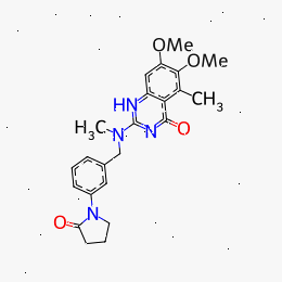 COc1cc2[nH]c(N(C)Cc3cccc(N4CCCC4=O)c3)nc(=O)c2c(C)c1OC